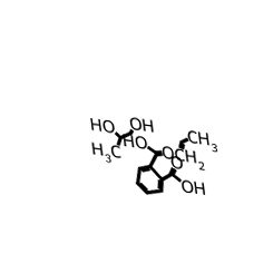 C=CC.CC(O)CO.O=C(O)c1ccccc1C(=O)O